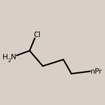 CCCCCCC(N)Cl